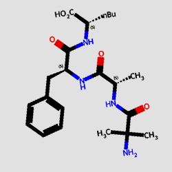 CCCC[C@H](NC(=O)[C@H](Cc1ccccc1)NC(=O)[C@H](C)NC(=O)C(C)(C)N)C(=O)O